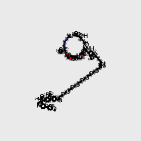 COc1ccc(-c2ccc3ncc4c(c3c2)n(-c2ccc(N3CCN(C(=O)CCOCCOCCOCCOCCOCCOCCOCCOCCn5cc(CCCCO[C@@H]6CC[C@@H](C[C@@H](N)[C@@H]7CC(=O)[C@H](C)/C=C(\C)[C@@H](O)[C@@H](OC)C(=O)[C@H](C)C[C@H](C)/C=C/C=C/C=C(\C)[C@@H](c8ccco8)C[C@@H]8CC[C@@H](C)[C@@](O)(O8)C(=O)C(=O)N8CCCC[C@H]8C(=O)O7)C[C@H]6OC)nn5)CC3)c(C(F)(F)F)c2)c(=O)n4C)cn1